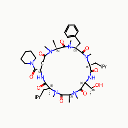 CC(C)C[C@H]1C(=O)N[C@@H]([C@@H](C)O)C(=O)N(C)[C@@H](C)C(=O)N(C)[C@@](C)(CC(C)C)C(=O)N[C@H](C(=O)N2CCCCC2)CC(=O)N(C)[C@@H](C)C(=O)N(C)[C@@H](Cc2ccccc2)C(=O)N1C